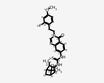 COc1ccc(CCn2cnc3cc(NC(=S)NC4CC5CC(C4C)C5(C)C)ccc3c2=O)c(F)c1